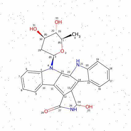 C[C@H]1O[C@@H](n2c3ccccc3c3c4c(c5c6ccccc6[nH]c5c32)C(O)NC4=O)C[C@@H](O)[C@@H]1O